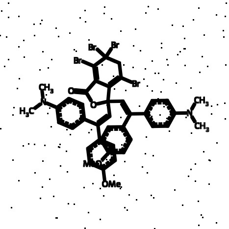 COc1ccc(C(=CC2(C=C(c3ccc(OC)cc3)c3ccc(N(C)C)cc3)OC(=O)C3=C(Br)C(Br)(Br)CC(Br)=C32)c2ccc(N(C)C)cc2)cc1